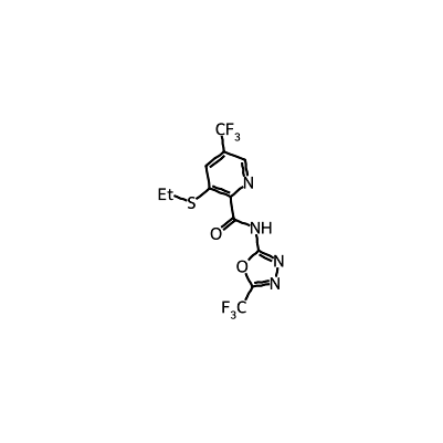 CCSc1cc(C(F)(F)F)cnc1C(=O)Nc1nnc(C(F)(F)F)o1